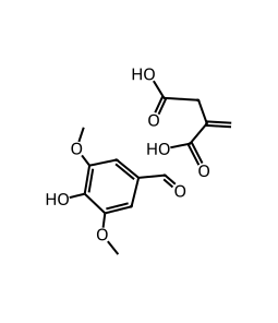 C=C(CC(=O)O)C(=O)O.COc1cc(C=O)cc(OC)c1O